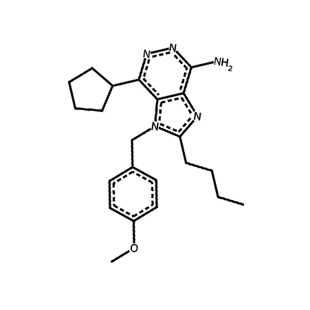 CCCCc1nc2c(N)nnc(C3CCCC3)c2n1Cc1ccc(OC)cc1